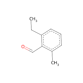 CCc1cccc(C)c1C=O